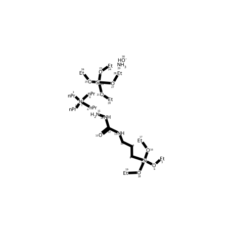 CCC[N+](CCC)(CCC)CCC.CCO[Si](CCCNC(=O)NN)(OCC)OCC.CCO[Si](OCC)(OCC)OCC.N.[OH-]